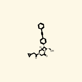 O=C(CC1CC1)N1CC(=O)N2[C@H](C1)[C@H](c1ccc(C#Cc3ccccc3)cc1)[C@@H]2CO